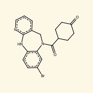 O=C1CCC(C(=O)N2Cc3cccnc3Nc3ccc(Br)cc32)CC1